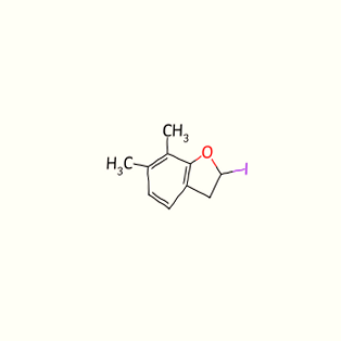 Cc1ccc2c(c1C)OC(I)C2